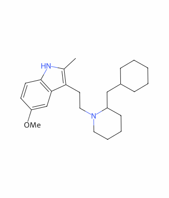 COc1ccc2[nH]c(C)c(CCN3CCCCC3CC3CCCCC3)c2c1